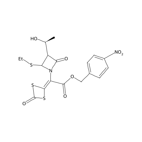 CCSC1C([C@H](C)O)C(=O)N1C(C(=O)OCc1ccc([N+](=O)[O-])cc1)=C1SC(=O)S1